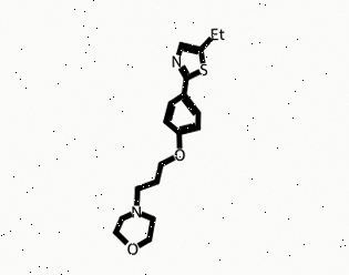 CCc1cnc(-c2ccc(OCCCN3CCOCC3)cc2)s1